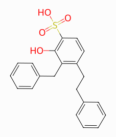 O=S(=O)(O)c1ccc(CCc2ccccc2)c(Cc2ccccc2)c1O